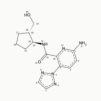 Nc1ccc(-n2nccn2)c(C(=O)N[C@H]2CCC[C@@H]2CO)n1